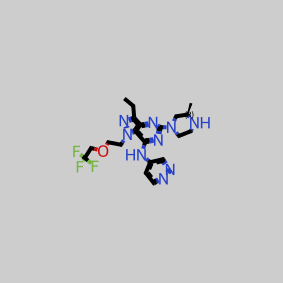 CCc1nn(CCOCC(F)(F)F)c2c(Nc3ccnnc3)nc(N3CCN[C@H](C)C3)nc12